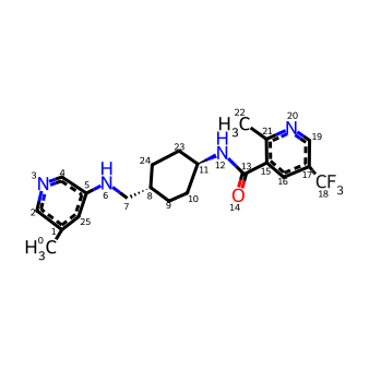 Cc1cncc(NC[C@H]2CC[C@H](NC(=O)c3cc(C(F)(F)F)cnc3C)CC2)c1